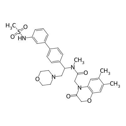 Cc1cc2c(cc1C)N(CC(=O)N(C)C(CN1CCOCC1)c1ccc(-c3cccc(NS(C)(=O)=O)c3)cc1)C(=O)CO2